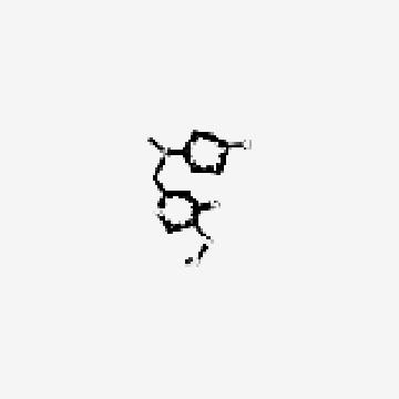 CCCCOc1coc(CN(C)c2ccc(Cl)cc2)cc1=O